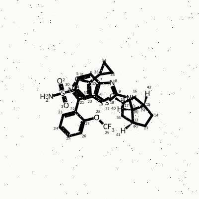 NS(=O)(=O)c1ccc2nc(N[C@H]3[C@@H]4CC[C@H]3C[C@H](OCc3c(-c5ccccc5OC(F)(F)F)noc3C3CC3)C4)sc2c1